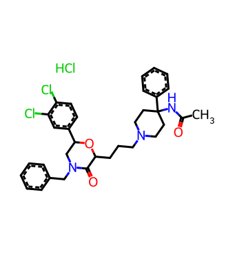 CC(=O)NC1(c2ccccc2)CCN(CCCC2OC(c3ccc(Cl)c(Cl)c3)CN(Cc3ccccc3)C2=O)CC1.Cl